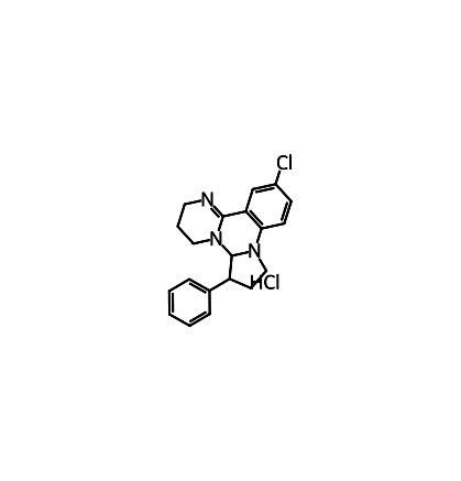 Cl.Clc1ccc2c(c1)C1=NCCCN1C1C(c3ccccc3)CCN21